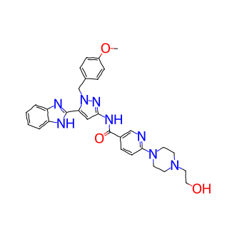 COc1ccc(Cn2nc(NC(=O)c3ccc(N4CCN(CCO)CC4)nc3)cc2-c2nc3ccccc3[nH]2)cc1